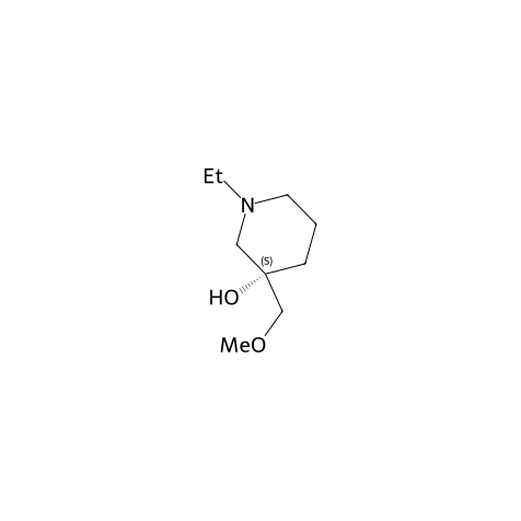 CCN1CCC[C@@](O)(COC)C1